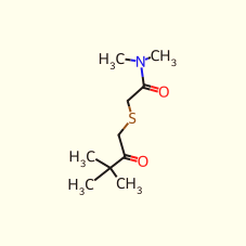 CN(C)C(=O)CSCC(=O)C(C)(C)C